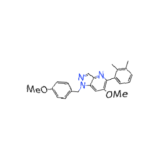 COc1ccc(Cn2ncc3nc(-c4cccc(C)c4C)c(OC)cc32)cc1